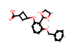 O=C(O)C1CC(Oc2cccc(OCc3ccccc3)c2C2OCCO2)C1